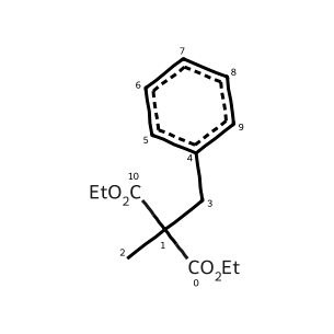 CCOC(=O)C(C)(Cc1ccccc1)C(=O)OCC